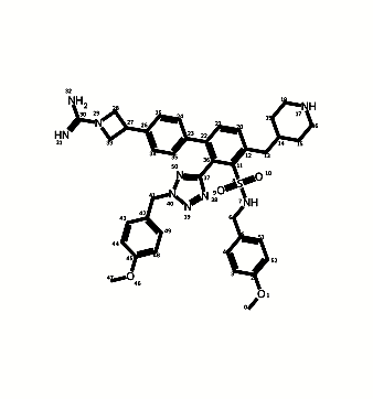 COc1ccc(CNS(=O)(=O)c2c(CC3CCNCC3)ccc(-c3ccc(C4CN(C(=N)N)C4)cc3)c2-c2nnn(Cc3ccc(OC)cc3)n2)cc1